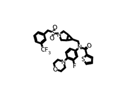 O=C(c1cccs1)N(CC1C2CN(S(=O)(=O)Cc3cccc(C(F)(F)F)c3)CC12)c1ccc(N2CCOCC2)c(F)c1